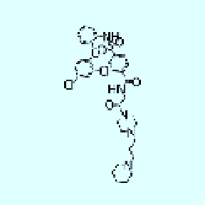 O=C(NCC(=O)N1CCN(CCCN2CCCCC2)CC1)c1ccc(S(=O)(=O)Nc2ccccc2Oc2ccc(Cl)cc2Cl)cc1